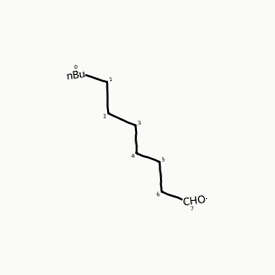 CCCCCCCCCC[C]=O